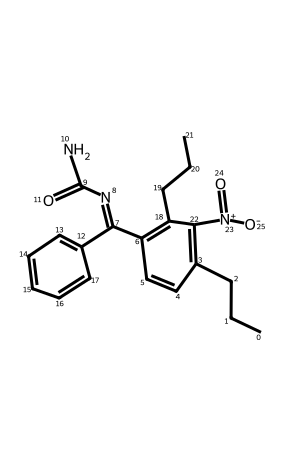 CCCc1ccc(C(=NC(N)=O)c2ccccc2)c(CCC)c1[N+](=O)[O-]